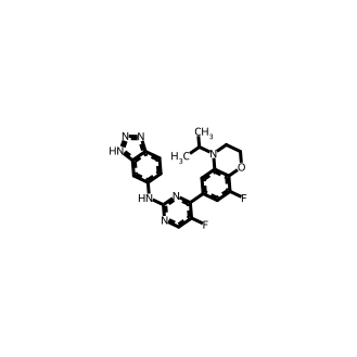 CC(C)N1CCOc2c(F)cc(-c3nc(Nc4ccc5nn[nH]c5c4)ncc3F)cc21